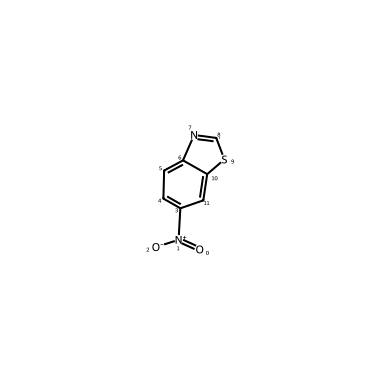 O=[N+]([O-])c1ccc2n[c]sc2c1